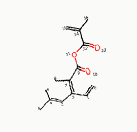 C=CC(C=C(C)C)=C(C)C(=O)OC(=O)C(=C)C